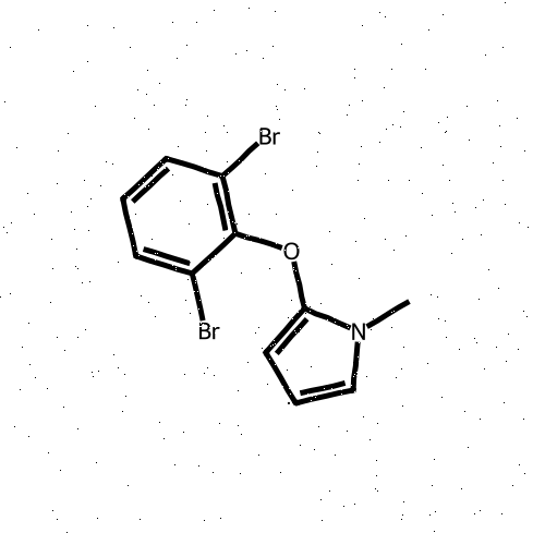 Cn1c[c]cc1Oc1c(Br)cccc1Br